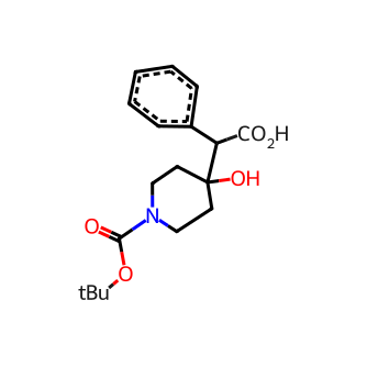 CC(C)(C)OC(=O)N1CCC(O)(C(C(=O)O)c2ccccc2)CC1